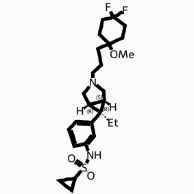 CC[C@]1(c2cccc(NS(=O)(=O)C3CC3)c2)[C@@H]2CN(CCCC3(OC)CCC(F)(F)CC3)C[C@@H]21